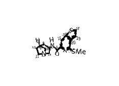 CSc1nc(C(=O)N[C@@H]2C[C@H]3CCN(C3)C2)cc2sccc12